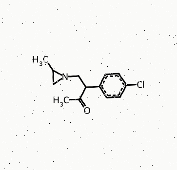 CC(=O)C(CN1CC1C)c1ccc(Cl)cc1